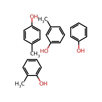 Cc1ccc(O)cc1.Cc1cccc(O)c1.Cc1ccccc1O.Oc1ccccc1